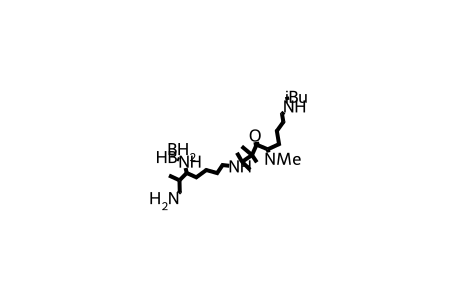 BBNC(CCCCNC(C)(C)C(C)(C)C(=O)C(CCCCNC(C)CC)NC)C(C)CN